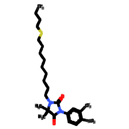 CC1(C)C(=O)N(c2ccc([N+](=O)[O-])c(C(F)(F)F)c2)C(=O)N1CCCCCCCCCSCCCC(F)(F)F